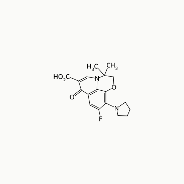 CC1(C)COc2c(N3CCCC3)c(F)cc3c(=O)c(C(=O)O)cn1c23